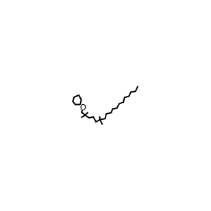 CCCCCCCCCCCCC(C)(C)CCCC(C)(C)COC1CCCCC1